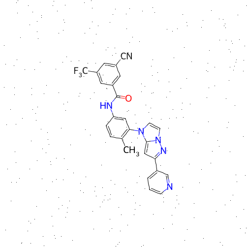 Cc1ccc(NC(=O)c2cc(C#N)cc(C(F)(F)F)c2)cc1-n1ccn2nc(-c3cccnc3)cc12